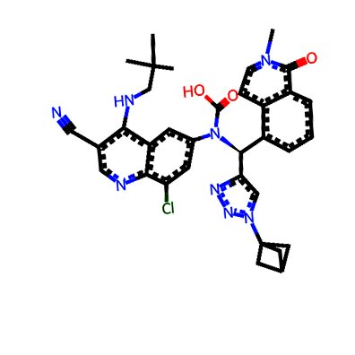 Cn1ccc2c([C@@H](c3cn(C45CC(C4)C5)nn3)N(C(=O)O)c3cc(Cl)c4ncc(C#N)c(NCC(C)(C)C)c4c3)cccc2c1=O